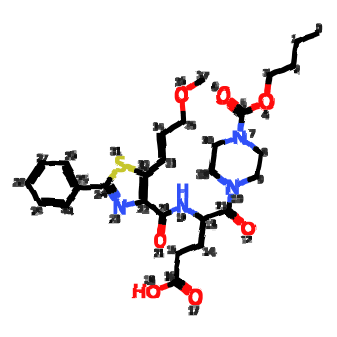 CCCCOC(=O)N1CCN(C(=O)C(CCC(=O)O)NC(=O)c2nc(-c3ccccc3)sc2C=CCOC)CC1